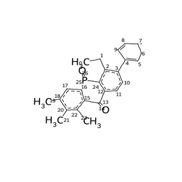 CCc1c(C2=CC[CH]C=C2)ccc(C(=O)c2ccc(C)c(C)c2C)c1P=O